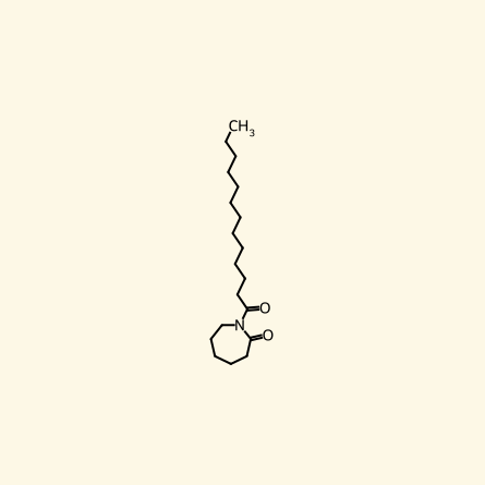 CCCCCCCCCCCCC(=O)N1CCCCCC1=O